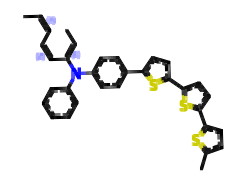 C\C=C/C=C\C(=C/C)N(c1ccccc1)c1ccc(-c2ccc(-c3ccc(-c4ccc(C)s4)s3)s2)cc1